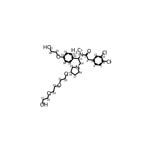 CN(C(=O)Cc1ccc(Cl)c(Cl)c1)C(CN1CC[C@H](OCCOCCOCCO)C1)c1ccc(OCCO)cc1